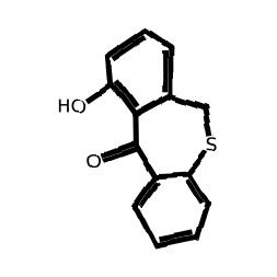 O=C1c2ccccc2SCc2cccc(O)c21